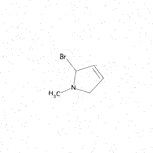 CN1CC=[C]C1Br